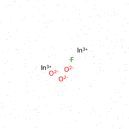 [F].[In+3].[In+3].[O-2].[O-2].[O-2]